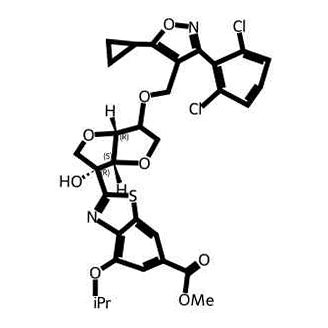 COC(=O)c1cc(OC(C)C)c2nc([C@@]3(O)CO[C@@H]4C(OCc5c(-c6c(Cl)cccc6Cl)noc5C5CC5)CO[C@@H]43)sc2c1